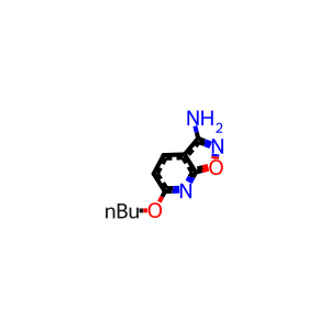 CCCCOc1ccc2c(N)noc2n1